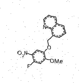 COc1cc(F)c([N+](=O)[O-])cc1OCc1cccc2cccnc12